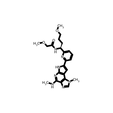 CNc1nc2[nH]c(-c3cccc([C@H](CCCOC)NC(=O)COC)n3)cc2c2c1ncn2C